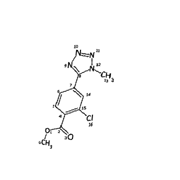 COC(=O)c1ccc(-c2nnnn2C)cc1Cl